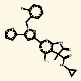 CC1(C(=O)NC2CC2)C(=O)Nc2nc(-c3cc(-c4ccon4)n(Cc4ccccc4F)n3)nc(N)c21